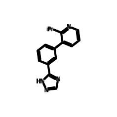 CC(C)c1ncccc1-c1cccc(-c2ncn[nH]2)c1